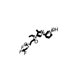 CCN(C(=O)CC[S+]([O-])CC(F)(F)F)c1cn(-c2ccc[n+](O)c2)nc1C